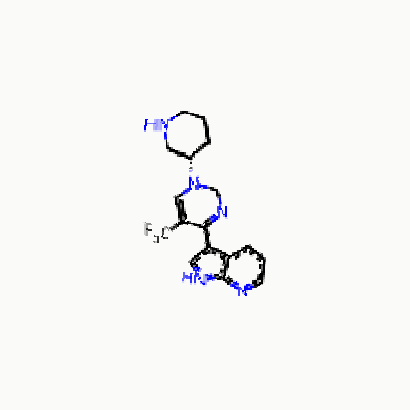 FC(F)(F)C1=CN([C@H]2CCCNC2)CN=C1c1c[nH]c2ncccc12